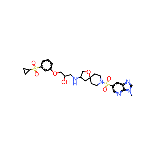 Cn1cnc2cc(S(=O)(=O)N3CCC4(CC3)CC(NCC(O)COc3cccc(S(=O)(=O)C5CC5)c3)CO4)cnc21